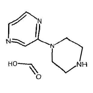 O=CO.c1cnc(N2CCNCC2)cn1